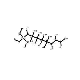 CC[Si](OC)(OC)C(F)C(F)(F)C(F)(F)C(F)(F)C(F)(F)C(F)C(F)C(F)F